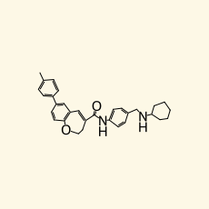 Cc1ccc(-c2ccc3c(c2)C=C(C(=O)Nc2ccc(CNC4CCCCC4)cc2)CCO3)cc1